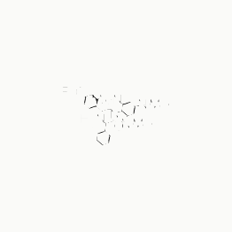 CNc1cc(NC)c(N(CCc2ccc(C(F)(F)F)cc2)C(=O)C(N)c2ccccc2)c(NC)c1